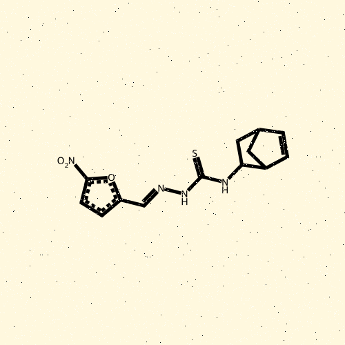 O=[N+]([O-])c1ccc(C=NNC(=S)NC2CC3C=CC2C3)o1